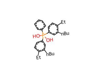 CCCCc1cc(P(O)(O)(c2ccccc2)c2ccc(CC)c(CCCC)c2)ccc1CC